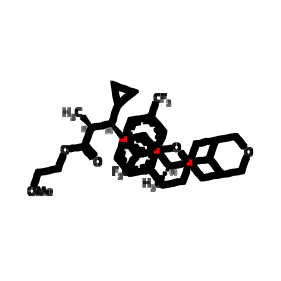 COCCOC(=O)[C@@H](C)[C@H](c1ccc2c(c1)OC(C1C3COCC1CN([C@H](C)c1cc(C(F)(F)F)ccc1C(F)(F)F)C3)CC2)C1CC1